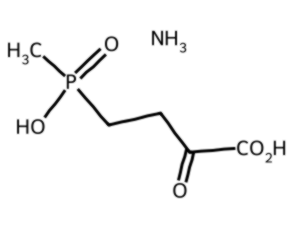 CP(=O)(O)CCC(=O)C(=O)O.N